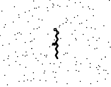 CCCCCCCCOCl.[AlH3]